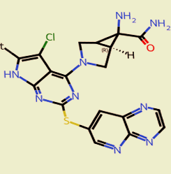 CCc1[nH]c2nc(Sc3cnc4nccnc4c3)nc(N3CC4[C@H](C3)C4(N)C(N)=O)c2c1Cl